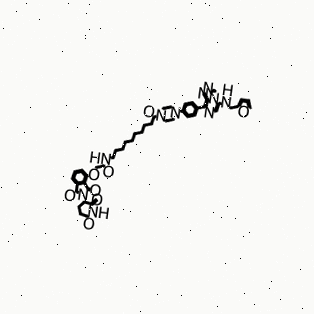 O=C(COc1cccc2c1C(=O)N(C1CCC(=O)NC1=O)C2=O)NCCCCCCCCCC(=O)N1CCN(c2ccc(-c3ncc(NCc4ccco4)n4cnnc34)cc2)CC1